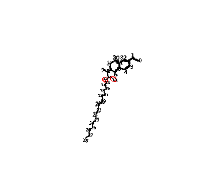 C=Cc1ccc2cc(C(C)C(=O)OCCCCCCCCCCCCCCCC)ccc2c1